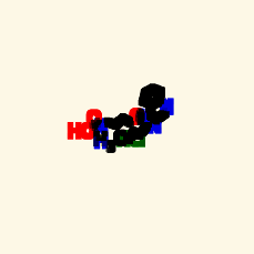 CCCCc1nc2cnc3ccccc3c2n1OCCCCNC(=O)O.Cl